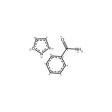 NC(=O)c1ccccc1.c1conn1